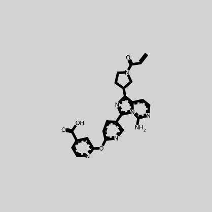 C=CC(=O)N1CCC(c2nc(-c3ccc(Oc4cc(C(=O)O)ccn4)nc3)n3c(N)nccc23)C1